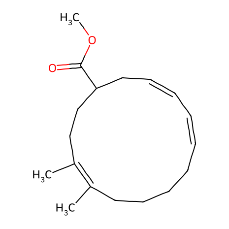 COC(=O)C1CC=CC=CCCCCC(C)=C(C)CC1